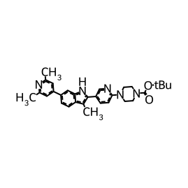 Cc1cc(-c2ccc3c(C)c(-c4ccc(N5CCN(C(=O)OC(C)(C)C)CC5)nc4)[nH]c3c2)cc(C)n1